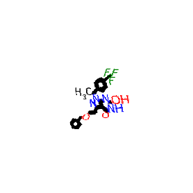 CC(c1ccc(C(F)(F)F)cc1)n1nc(C=COCc2ccccc2)c2c(=O)[nH]c(O)nc21